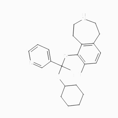 CC(Nc1c(Cl)ccc2c1CCNCC2)(OC1CCCCC1)c1cccnc1